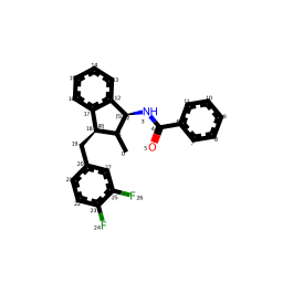 CC1[C@H](NC(=O)c2ccccc2)c2ccccc2[C@@H]1Cc1ccc(F)c(F)c1